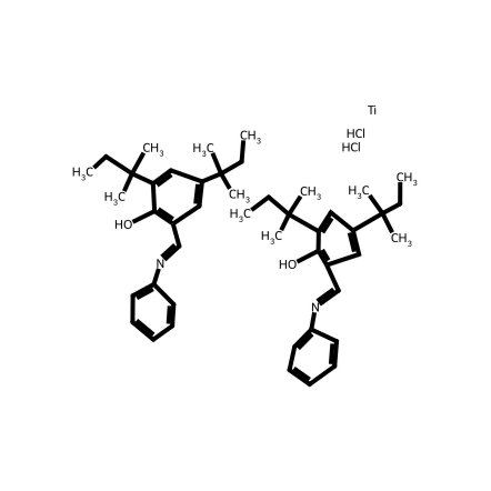 CCC(C)(C)c1cc(C=Nc2ccccc2)c(O)c(C(C)(C)CC)c1.CCC(C)(C)c1cc(C=Nc2ccccc2)c(O)c(C(C)(C)CC)c1.Cl.Cl.[Ti]